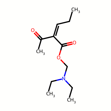 CCC=C(C(C)=O)C(=O)OCN(CC)CC